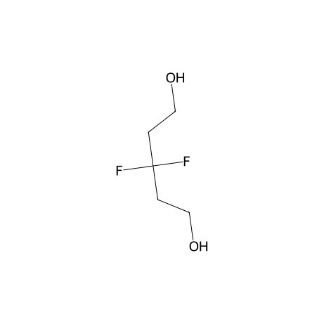 OCCC(F)(F)CCO